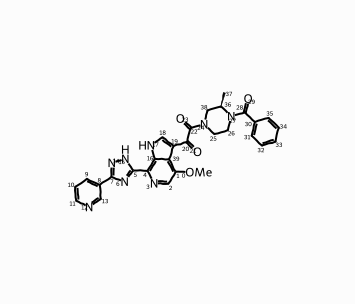 COc1cnc(-c2nc(-c3cccnc3)n[nH]2)c2[nH]cc(C(=O)C(=O)N3CCN(C(=O)c4ccccc4)[C@H](C)C3)c12